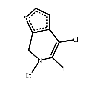 CCN1Cc2sccc2C(Cl)=C1I